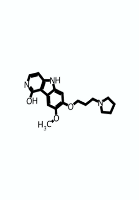 COc1cc2c(cc1OCCCN1CCCC1)[nH]c1ccnc(O)c12